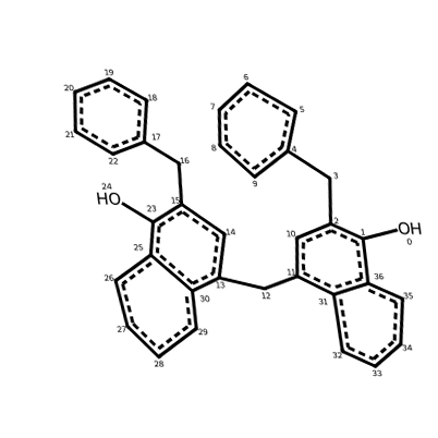 Oc1c(Cc2ccccc2)cc(Cc2cc(Cc3ccccc3)c(O)c3ccccc23)c2ccccc12